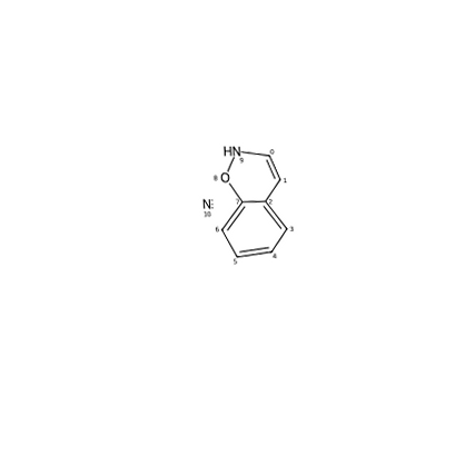 C1=Cc2ccccc2ON1.[N]